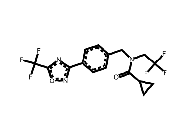 O=C(C1CC1)N(Cc1ccc(-c2noc(C(F)(F)F)n2)cc1)CC(F)(F)F